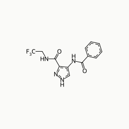 O=C(Nc1c[nH]nc1C(=O)NCC(F)(F)F)c1ccccc1